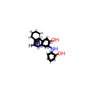 Oc1ccccc1Nc1cc2c(cc1O)[C@@]13CCCC[C@H]1[C@@H](C2)NCC3